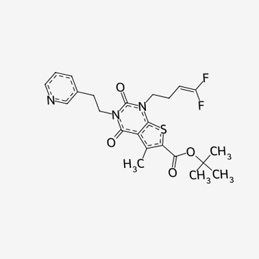 Cc1c(C(=O)OC(C)(C)C)sc2c1c(=O)n(CCc1cccnc1)c(=O)n2CCC=C(F)F